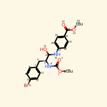 CC(C)(C)OC(=O)N[C@@H](Cc1ccc(Br)cc1)C(O)Nc1ccc(C(=O)OC(C)(C)C)cc1